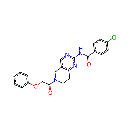 O=C(Nc1ncc2c(n1)CCN(C(=O)COc1ccccc1)C2)c1ccc(Cl)cc1